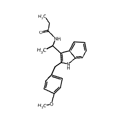 CCC(=O)NC(C)c1c(Cc2ccc(OC)cc2)[nH]c2ccccc12